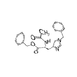 CC(=O)N[C@@H](Cc1cn(Cc2ccccc2)cn1)C(=O)OCc1ccccc1